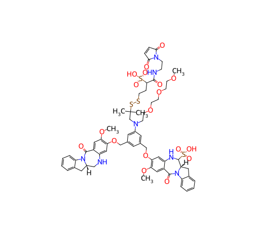 COCCOCCOCCN(CC(C)(C)SSCCC(C(=O)NCCN1C(=O)C=CC1=O)S(=O)(=O)O)c1cc(COc2cc3c(cc2OC)C(=O)N2c4ccccc4C[C@H]2CN3)cc(COc2cc3c(cc2OC)C(=O)N2c4ccccc4C[C@H]2C(S(=O)(=O)O)N3)c1